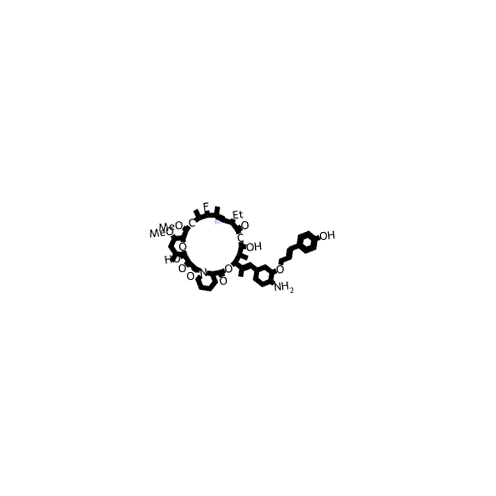 CCC1/C=C(\C)C(F)C(C)CC(OC)C2OC(O)(C(=O)C(=O)N3CCCCC3C(=O)OC(C(C)=CC3CCC(N)C(OCC=Cc4ccc(O)cc4)C3)C(C)C(O)CC1=O)C(C)CC2OC